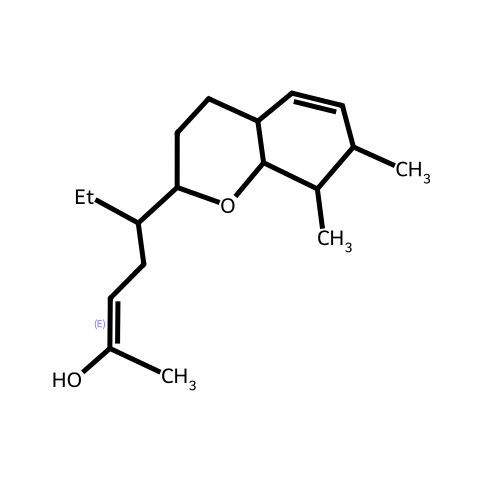 CCC(C/C=C(\C)O)C1CCC2C=CC(C)C(C)C2O1